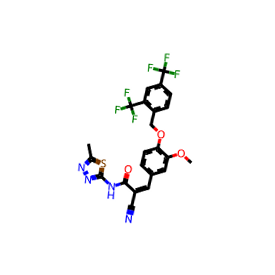 COc1cc(C=C(C#N)C(=O)Nc2nnc(C)s2)ccc1OCc1ccc(C(F)(F)F)cc1C(F)(F)F